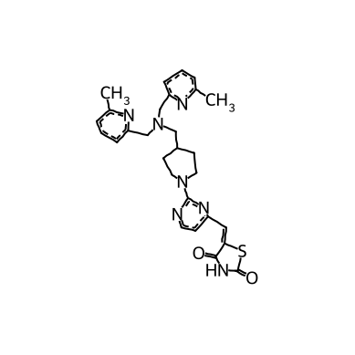 Cc1cccc(CN(Cc2cccc(C)n2)CC2CCN(c3nccc(C=C4SC(=O)NC4=O)n3)CC2)n1